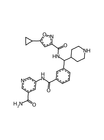 NC(=O)c1cncc(NC(=O)c2cccc(C(NC(=O)c3cc(C4CC4)on3)C3CCNCC3)c2)c1